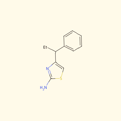 CCC(c1ccccc1)c1csc(N)n1